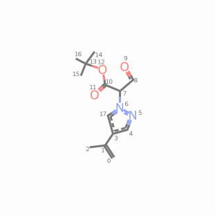 C=C(C)c1cnn(C(C=O)C(=O)OC(C)(C)C)c1